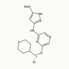 CC[C@@H](Oc1cncc(Nc2cc(OC)[nH]n2)n1)C1CCOCC1